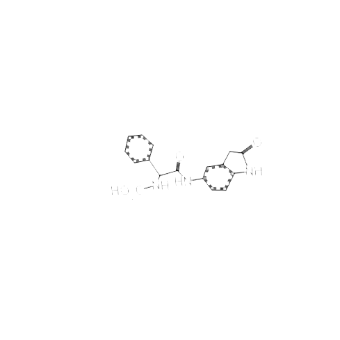 O=C(O)NC(C(=O)Nc1ccc2c(c1)CC(=O)N2)c1ccccc1